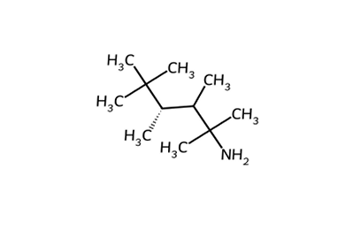 CC([C@H](C)C(C)(C)C)C(C)(C)N